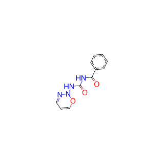 O=C(NC(=O)c1ccccc1)NN1N=CC=CO1